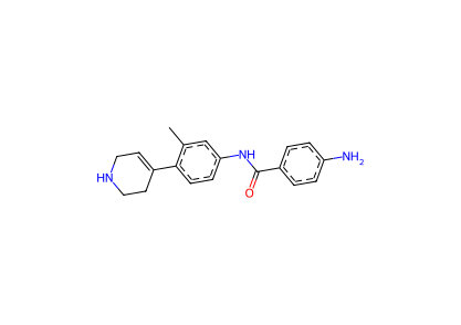 Cc1cc(NC(=O)c2ccc(N)cc2)ccc1C1=CCNCC1